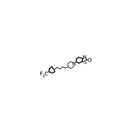 [O]c1nc2ccc(N3CCC(CCCCc4ccc(C(F)(F)F)cc4)CC3)cc2s1